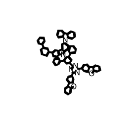 c1ccc(-c2cccc(-c3ccc4c(c3)c3cc(-n5c6ccccc6c6ccccc65)ccc3n4-c3c(-c4ccccc4)cc(-c4nc(-c5ccc6c(c5)oc5ccccc56)nc(-c5ccc6c(c5)oc5ccccc56)n4)cc3-c3ccccc3)c2)cc1